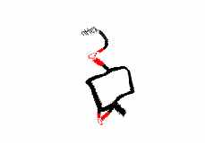 CCCCCCCOC1CCC2(C)OC2C1